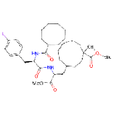 COC(=O)[C@H](CC1CCCCCC(C)(C(=O)OC(C)(C)C)CC1)NC(=O)[C@@H](Cc1ccc(I)cc1)NC(=O)C1CCCCCCC1